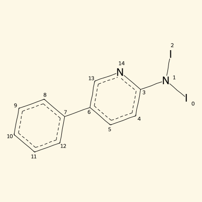 IN(I)c1ccc(-c2ccccc2)cn1